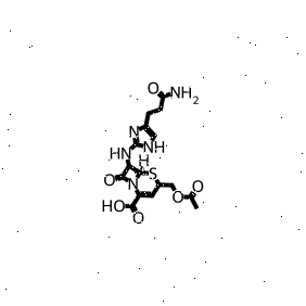 CC(=O)OCC1C=C(C(=O)O)N2C(=O)C(Nc3nc(CCC(N)=O)c[nH]3)[C@H]2S1